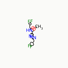 CCOCC(NC(=O)CC1CC(F)(F)C1)c1cnn2cc(CC3CCC(F)(F)CC3)nc2c1